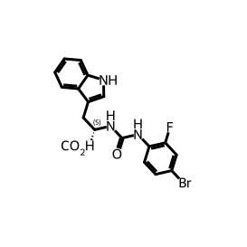 O=C(Nc1ccc(Br)cc1F)N[C@@H](Cc1c[nH]c2ccccc12)C(=O)O